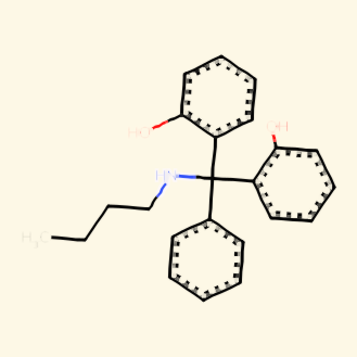 CCCCNC(c1ccccc1)(c1ccccc1O)c1ccccc1O